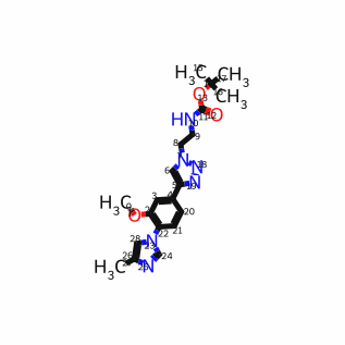 COc1cc(-c2cn(CCNC(=O)OC(C)(C)C)nn2)ccc1-n1cnc(C)c1